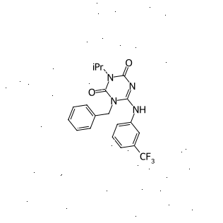 CC(C)n1c(=O)nc(Nc2cccc(C(F)(F)F)c2)n(Cc2ccccc2)c1=O